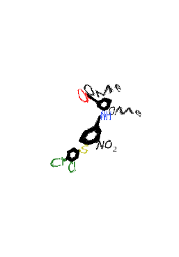 COC(=O)c1ccc(OC)c(NCc2ccc(Sc3ccc(Cl)c(Cl)c3)c([N+](=O)[O-])c2)c1